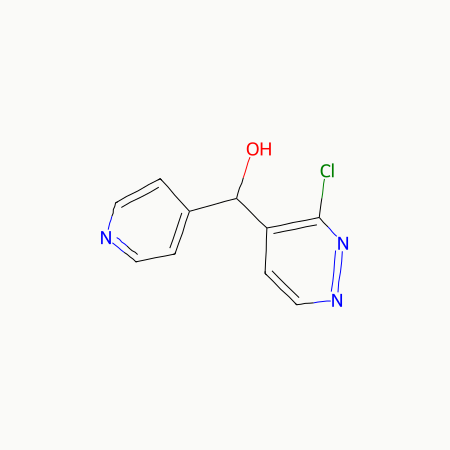 OC(c1ccncc1)c1ccnnc1Cl